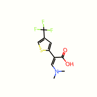 CN(C)/C=C(\C(=O)O)c1cc(C(F)(F)F)cs1